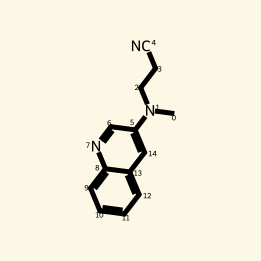 CN(CCC#N)c1cnc2ccccc2c1